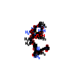 CC[C@H](C)[C@@H]1NC(=O)CNC(=O)[C@@H]2Cc3c([nH]c4ccccc34)SC[C@H](NC(=O)CNC1=O)C(=O)N[C@@H](CC(N)=O)C(=O)N1C[C@H](OC(=O)N(C)CCN(C)C(=O)OCc3ccc(NC(=O)[C@H](CCCNC(N)=O)NC(=O)[C@@H](NC(=O)CCCCCN4C(=O)C=CC4=O)C(C)C)cc3)CC1C(=O)N[C@@H]([C@@H](C)[C@H](C)O)C(=O)N2